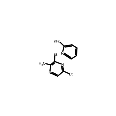 CCCc1ccccn1.CCc1cnc(C)c(CC)n1